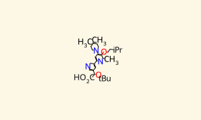 Cc1nc(-c2cncc(C(OC(C)(C)C)C(=O)O)c2)cc(N2CCC(C)(C)CC2)c1OCCC(C)C